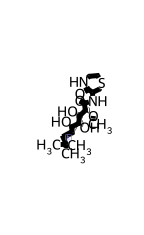 CO[C@@H](C(=O)NC1CSCCNC1=O)[C@H](O)[C@@H](O)[C@H](O)/C=C/C(C)(C)C